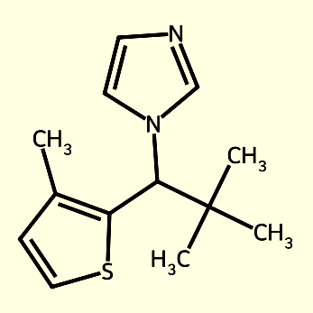 Cc1ccsc1C(n1ccnc1)C(C)(C)C